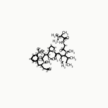 CCC(C)C(C(CC(=O)N1CCCC1C(OC)C(C)C(=O)N(C)C(CC#N)Cc1cccc([N+](=O)[O-])c1)OC)N(C)C(=O)CNC(=O)C(C)N(C)C